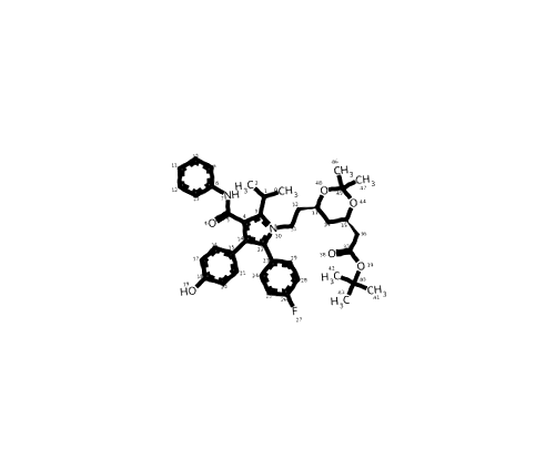 CC(C)c1c(C(=O)Nc2ccccc2)c(-c2ccc(O)cc2)c(-c2ccc(F)cc2)n1CC[C@@H]1C[C@H](CC(=O)OC(C)(C)C)OC(C)(C)O1